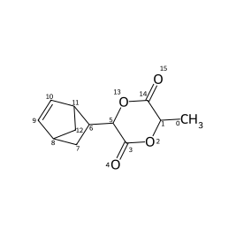 CC1OC(=O)C(C2CC3C=CC2C3)OC1=O